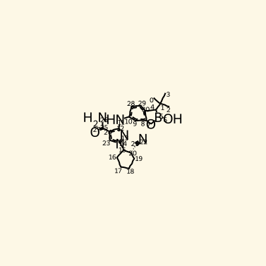 CC(C)(C)C1B(O)Oc2cc(Nc3nn([C@@H]4CCCC[C@H]4C#N)cc3C(N)=O)ccc21